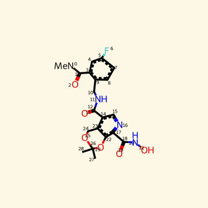 CNC(=O)c1cc(F)ccc1CNC(=O)c1cnc(C(=O)NO)c2c1COC(C)(C)O2